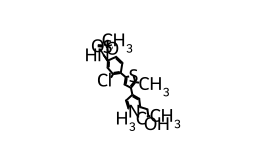 Cc1sc(-c2ccc(NS(C)(=O)=O)cc2Cl)cc1-c1ccnc(CC(C)(C)O)c1